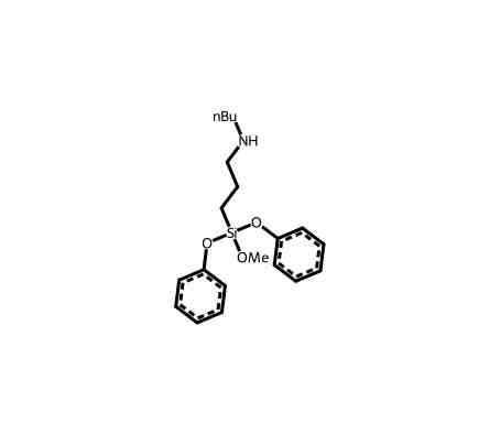 CCCCNCCC[Si](OC)(Oc1ccccc1)Oc1ccccc1